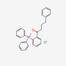 C[P+](c1ccccc1)(c1ccccc1)c1ccccc1C(=O)CCCc1ccccc1.[Cl-]